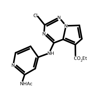 CCOC(=O)c1ccn2nc(Cl)nc(Nc3ccnc(NC(C)=O)c3)c12